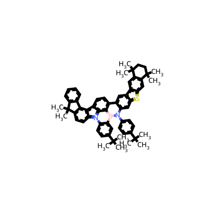 CC(C)(C)c1ccc(N2B3c4cc(C(C)(C)C)ccc4-n4c5ccc6c(c5c5ccc(c3c54)-c3cc4c(cc32)sc2cc3c(cc24)C(C)(C)CCC3(C)C)-c2ccccc2C6(C)C)cc1